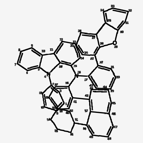 c1ccc(-n2c3ccccc3c3cccc(N(c4ccccc4-c4cccc5c4oc4ccccc45)c4ccccc4-c4cccc5cccc(C6CCCCC6)c45)c32)cc1